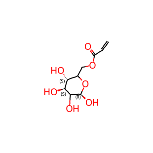 C=CC(=O)OCC1O[C@@H](O)C(O)[C@@H](O)[C@@H]1O